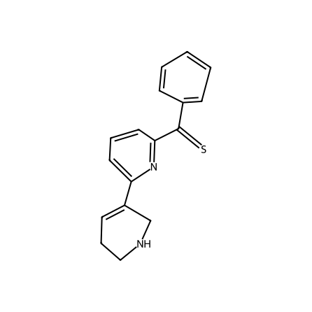 S=C(c1ccccc1)c1cccc(C2=CCCNC2)n1